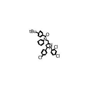 CC(C)(C)c1ccc(C(=O)N(CC2=NN(c3ccc(Cl)cc3Cl)C(c3ccc(Cl)cc3)C2)c2ccccc2)cc1